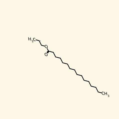 C[CH]COC(=O)CCCCCCCCCCCCCCC